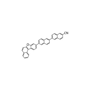 N#Cc1ccc2cc(-c3ccc4cc(-c5ccc6c(c5)oc5ccc7ccccc7c56)ccc4c3)ccc2c1